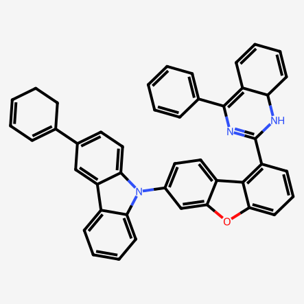 C1=CCCC(c2ccc3c(c2)c2ccccc2n3-c2ccc3c(c2)oc2cccc(C4=NC(c5ccccc5)=C5C=CC=CC5N4)c23)=C1